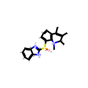 CC1=C(C)C(C)N(C)c2c1cccc2[S+]([O-])c1nc2ccccc2[nH]1